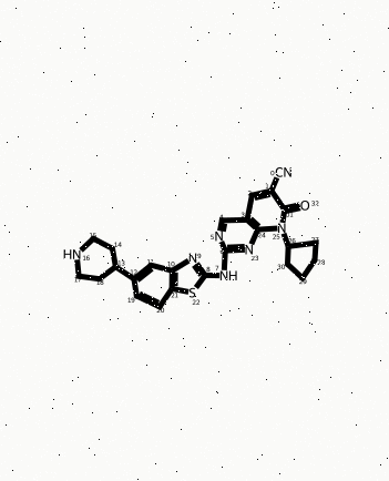 N#Cc1cc2cnc(Nc3nc4cc(C5CCNCC5)ccc4s3)nc2n(C2CCCC2)c1=O